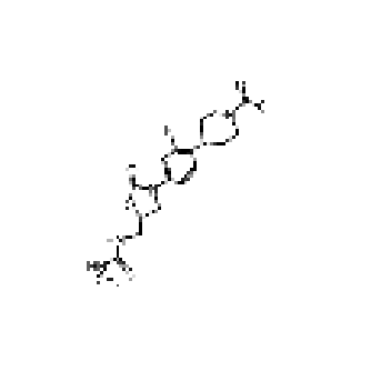 CNC(=S)NCC1CN(c2ccc(N3CCN(C(C)=O)CC3)c(F)c2)C(=O)O1